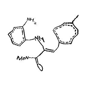 CNC(=O)C(=Cc1ccc(C)cc1)Nc1ccccc1N